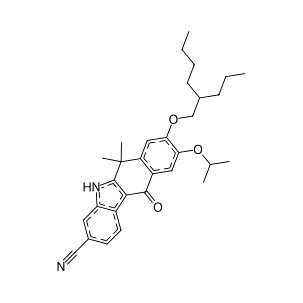 CCCCC(CCC)COc1cc2c(cc1OC(C)C)C(=O)c1c([nH]c3cc(C#N)ccc13)C2(C)C